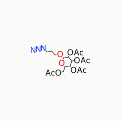 CC(=O)OCC1O[C@@H](OCCCN=[N+]=[N-])C(OC(C)=O)C(OC(C)=O)[C@H]1OC(C)=O